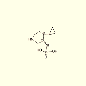 O=P(O)(O)N[C@H]1CNCC[C@@H]1C1CC1